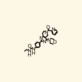 CCNC(=O)Nc1ccc(-c2nc3c(c(N4CCOCC4)n2)CN(C(=O)c2ccccn2)CC3)cc1